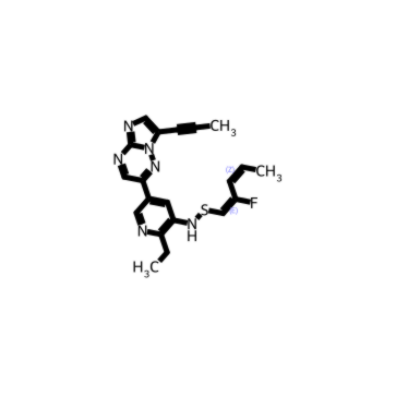 CC#Cc1cnc2ncc(-c3cnc(CC)c(NS/C=C(F)\C=C/C)c3)nn12